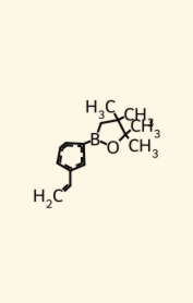 C=Cc1cccc(B2CC(C)(C)C(C)(C)O2)c1